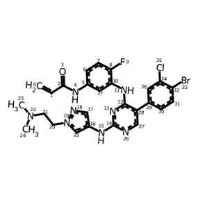 C=CC(=O)Nc1ccc(F)c(Nc2nc(Nc3cnn(CCN(C)C)c3)ncc2-c2ccc(Br)c(Cl)c2)c1